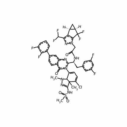 CN1N=C(NS(C)(=O)=O)C2(C)C(Cl)=CC=C(n3c([C@H](Cc4cc(F)cc(F)c4)NC(=O)Cn4nc(C(F)F)c5c4C(F)(F)[C@@H]4C[C@H]54)nc4cc(-c5cccc(F)c5F)ccc4c3=O)C12